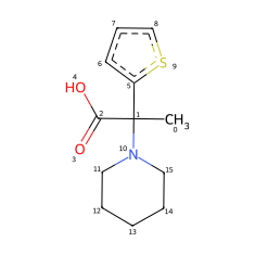 CC(C(=O)O)(c1cccs1)N1CCCCC1